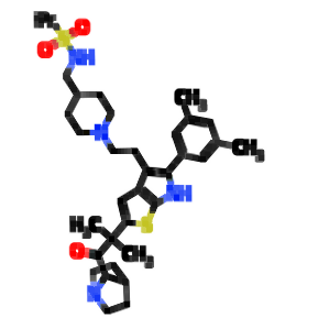 Cc1cc(C)cc(-c2[nH]c3sc(C(C)(C)C(=O)C4C5CCN4CC5)cc3c2CCN2CCC(CNS(=O)(=O)C(C)C)CC2)c1